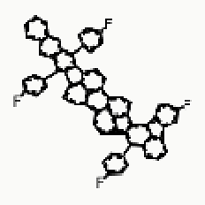 Fc1ccc(-c2c3c(c(-c4ccc(F)cc4)c4cc5ccccc5cc24)-c2ccc4c5ccc6c7c(ccc(c8ccc-3c2c84)c57)c2c(-c3ccc(F)cc3)c3cccc4c5cc(F)ccc5c(c34)c62)cc1